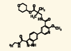 [2H]CNC(=O)c1n[nH]c2cc(-c3cnc(OC)c(C(=O)NCC(C)(C)C(=O)OC4CCOCC4)c3)ccc12